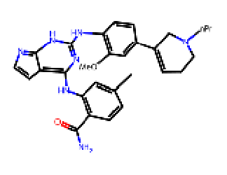 CCCN1CCC=C(c2ccc(Nc3nc(Nc4cc(C)ccc4C(N)=O)c4ccnc-4[nH]3)c(OC)c2)C1